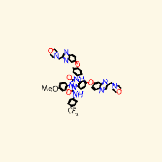 COc1ccc(N(C(=O)Nc2ccc(Oc3ccc4ncc(CN5CCOCC5)nc4c3)cc2)N(C(=O)Nc2ccc(C(F)(F)F)cc2)c2ccc(Oc3ccc4ncc(CN5CCOCC5)nc4c3)cc2)cc1